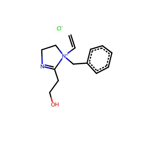 C=C[N+]1(Cc2ccccc2)CCN=C1CCO.[Cl-]